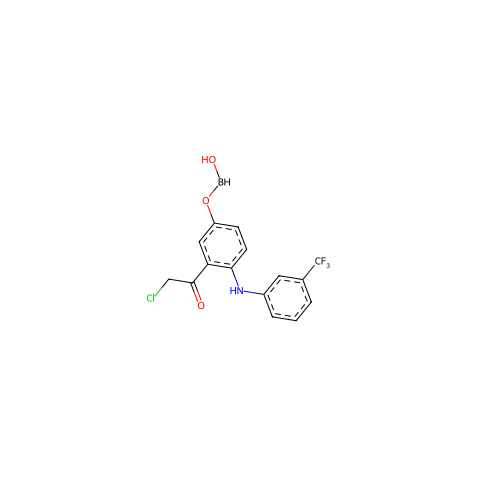 O=C(CCl)c1cc(OBO)ccc1Nc1cccc(C(F)(F)F)c1